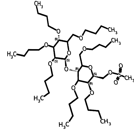 CCCCOCC1O[C@@H](O[C@@H]2C(COCCCC)O[C@@H](COS(C)(=O)=O)[C@@H](OCCCC)C2OCCCC)[C@@H](OCCCC)C(OCCCC)[C@@H]1OCCCC